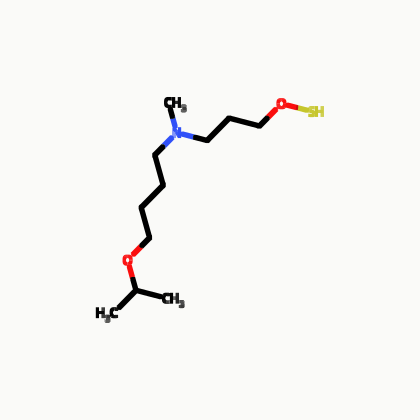 CC(C)OCCCCN(C)CCCOS